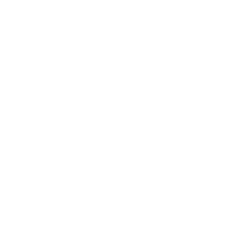 CSc1ccccc1C(=O)OOC(C)(C)C